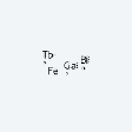 [Bi].[Fe].[Ga].[Tb]